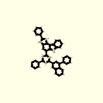 c1ccc(-c2nc(-c3cc(-c4ccccc4)c4ccccc4c3)nc(-c3cc4nc(-c5ccccc5)sc4c4c3oc3ccccc34)n2)cc1